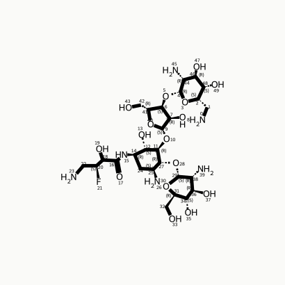 NC[C@@H]1O[C@H](O[C@H]2[C@@H](O)[C@H](O[C@@H]3[C@@H](O)[C@H](NC(=O)C(O)[C@@H](F)CN)C[C@H](N)[C@H]3O[C@H]3O[C@H](CO)[C@@H](O)[C@H](O)[C@H]3N)O[C@@H]2CO)[C@H](N)[C@@H](O)[C@@H]1O